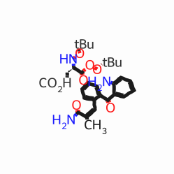 CC(=Cc1ccccc1C(=O)c1ccccc1N)C(N)=O.CC(C)(C)ON[C@@H](CC(=O)O)C(=O)OOC(C)(C)C